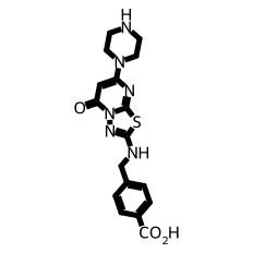 O=C(O)c1ccc(CNc2nn3c(=O)cc(N4CCNCC4)nc3s2)cc1